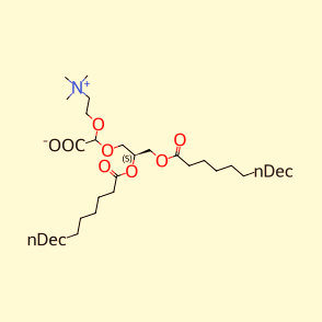 CCCCCCCCCCCCCCCC(=O)OC[C@H](COC(OCC[N+](C)(C)C)C(=O)[O-])OC(=O)CCCCCCCCCCCCCCC